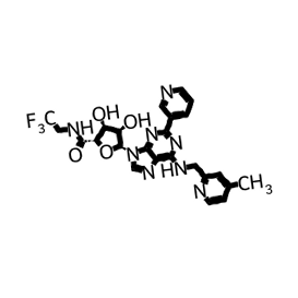 Cc1ccnc(CNc2nc(-c3cccnc3)nc3c2ncn3[C@@H]2O[C@H](C(=O)NCC(F)(F)F)[C@@H](O)[C@H]2O)c1